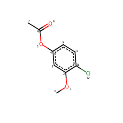 COc1cc(OC(C)=O)ccc1Cl